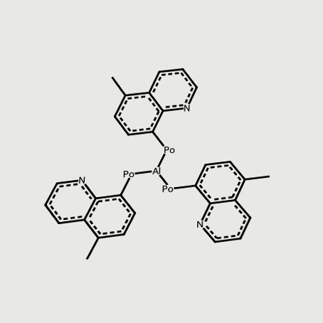 Cc1cc[c]([Po][Al]([Po][c]2ccc(C)c3cccnc23)[Po][c]2ccc(C)c3cccnc23)c2ncccc12